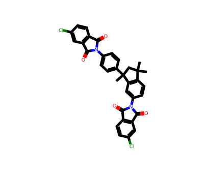 CC1(C)CC(C)(c2ccc(N3C(=O)c4ccc(Cl)cc4C3=O)cc2)c2cc(N3C(=O)c4ccc(Cl)cc4C3=O)ccc21